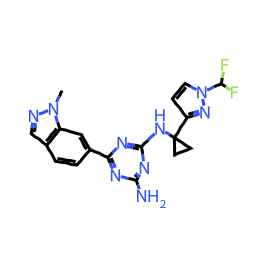 Cn1ncc2ccc(-c3nc(N)nc(NC4(c5ccn(C(F)F)n5)CC4)n3)cc21